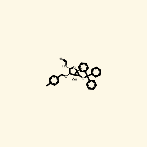 Cc1ccc(CO[C@H]2[C@H](NC=N)O[C@@H]3C(OC(c4ccccc4)(c4ccccc4)c4ccccc4)[C@]32O)cc1